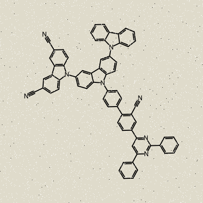 N#Cc1ccc2c(c1)c1cc(C#N)ccc1n2-c1ccc2c(c1)c1cc(-n3c4ccccc4c4ccccc43)ccc1n2-c1ccc(-c2ccc(-c3cc(-c4ccccc4)nc(-c4ccccc4)n3)cc2C#N)cc1